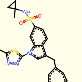 Cc1nnc(-n2cc(Cc3ccccc3)c3ccc(S(=O)(=O)NC4(C)CC4)cc32)s1